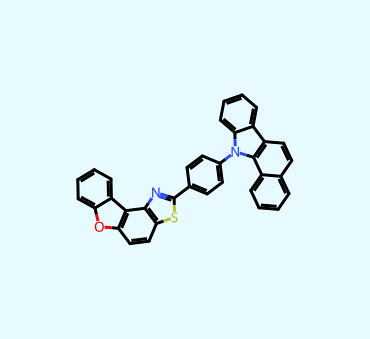 c1ccc2c(c1)ccc1c3ccccc3n(-c3ccc(-c4nc5c(ccc6oc7ccccc7c65)s4)cc3)c21